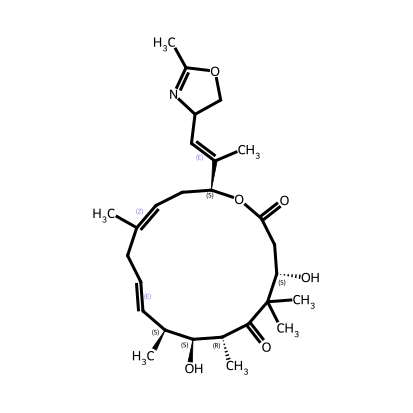 CC1=NC(/C=C(\C)[C@@H]2C/C=C(/C)C/C=C/[C@H](C)[C@H](O)[C@@H](C)C(=O)C(C)(C)[C@@H](O)CC(=O)O2)CO1